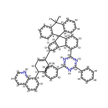 CC1(C)c2ccccc2C2(c3ccc(C4=CCC(c5cccc6cccnc56)C=C4)cc3-c3c(-c4nc(-c5ccccc5)nc(-c5ccccc5)n4)cccc32)c2ccccc21